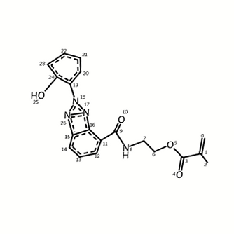 C=C(C)C(=O)OCCNC(=O)c1cccc2c1n1n(-c3ccccc3O)n21